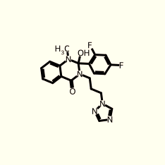 CN1c2ccccc2C(=O)N(CCCn2cncn2)C1(O)c1ccc(F)cc1F